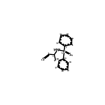 CC(C=S)NP(=S)(c1ccccc1)c1ccccc1